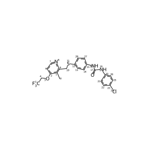 Cc1c(OCC(F)(F)F)ccnc1CSc1ccc(NC(=O)Nc2ccc(Cl)cc2)cc1